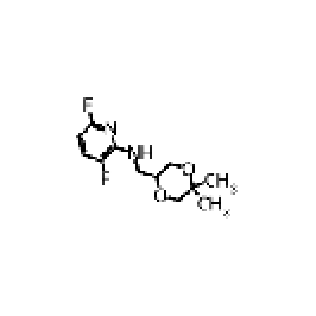 CC1(C)COC(CNc2nc(F)ccc2F)CO1